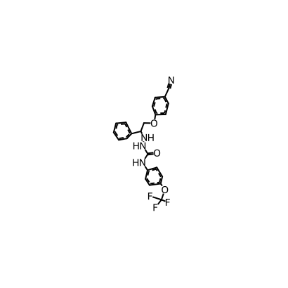 N#Cc1ccc(OCC(NNC(=O)Nc2ccc(OC(F)(F)F)cc2)c2ccccc2)cc1